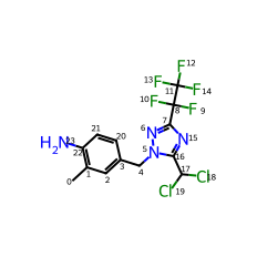 Cc1cc(Cn2nc(C(F)(F)C(F)(F)F)nc2C(Cl)Cl)ccc1N